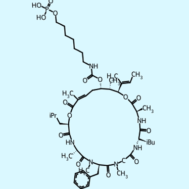 C/C=C(\C)[C@H]1OC(=O)[C@@H](C)NC(=O)[C@H]([C@H](C)CC)NC(=O)CN(C)C(=O)[C@@H](Cc2ccccc2)N(C)C(=O)[C@H](C)NC(=O)[C@@H](CC(C)C)OC(=O)/C(C)=C/C[C@H](OC(=O)NCCCCCCCOP(=O)(O)O)[C@@H]1C